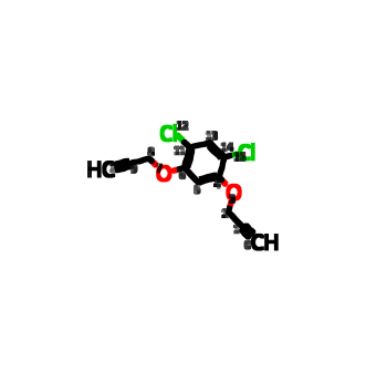 C#CCOc1cc(OCC#C)c(Cl)cc1Cl